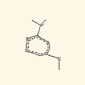 COc1ccnc([SiH](C)C)c1